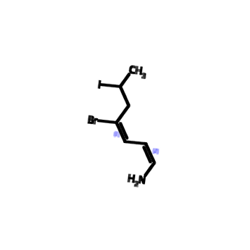 CC(I)C/C(Br)=C\C=C/N